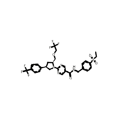 CCS(=O)(=O)c1ccc(CNC(=O)c2cnc(N3CC(c4ccc(C(F)(F)F)cc4)C[C@H]3COCC(F)(F)F)nc2)cc1